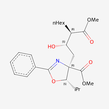 CCCCCC[C@@H](C(=O)OC)[C@@H](O)C[C@@]1(C(=O)OC)N=C(c2ccccc2)O[C@H]1C(C)C